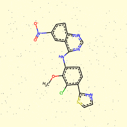 COc1c(Nc2ncnc3ccc([N+](=O)[O-])cc23)ccc(-c2nccs2)c1Cl